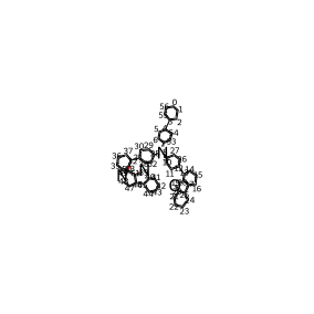 c1ccc(-c2ccc(N(c3ccc(-c4cccc5c4oc4ccccc45)cc3)c3ccc(-c4ccccc4)c(-n4c5ccccc5c5ccncc54)c3)cc2)cc1